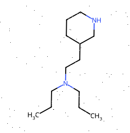 CCCN(CCC)CCC1CCCNC1